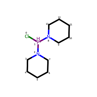 Cl[PH](N1CCCCC1)N1CCCCC1